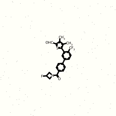 Cc1c(C=O)sc(-c2cc(-c3ccc(C(=O)N4CC(F)C4)cc3)ccc2C(F)(F)F)c1C